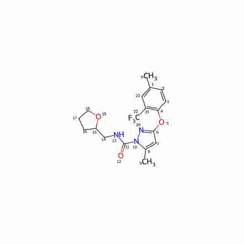 Cc1ccc(Oc2cc(C)n(C(=O)NCC3CCCO3)n2)c(C(F)(F)F)c1